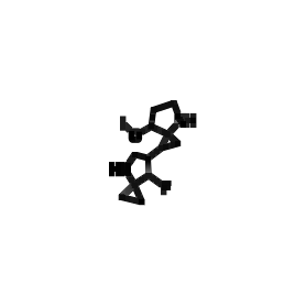 FC1C(C2CC23NCCC3OI)CNC12CC2